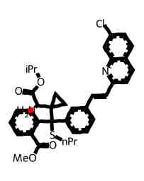 CCCSC(c1cccc(C=Cc2ccc3ccc(Cl)cc3n2)c1)(c1ccccc1C(=O)OC)C1(C(N)C(=O)OC(C)C)CC1